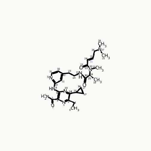 CCc1nc(C(N)=O)c(Nc2cc(CCNC(=O)[C@H](C)N(C)C(=O)/C=C/CN(C)C)ccn2)nc1C1CC1